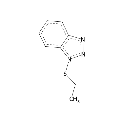 CCSn1nnc2ccccc21